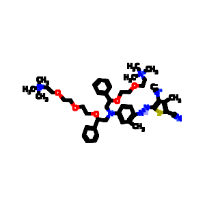 [C-]#[N+]c1c(/N=N/c2ccc(N(CC(OCCOCCOCC[N+](C)(C)C)c3ccccc3)CC(OCCOCC[N+](C)(C)C)c3ccccc3)cc2C)sc(C#N)c1C